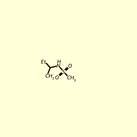 [CH2]CC(C)NS(C)(=O)=O